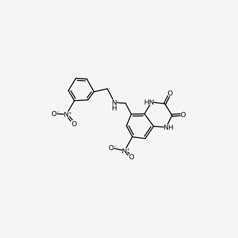 O=c1[nH]c2cc([N+](=O)[O-])cc(CN[CH]c3cccc([N+](=O)[O-])c3)c2[nH]c1=O